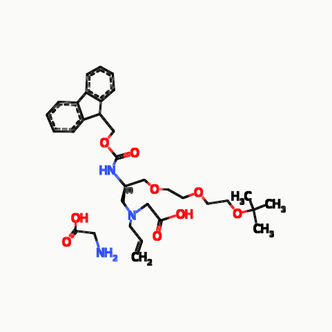 C=CCN(CC(=O)O)C[C@H](COCCOCCOC(C)(C)C)NC(=O)OCC1c2ccccc2-c2ccccc21.NCC(=O)O